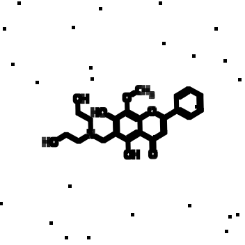 COc1c(O)c(CN(CCO)CCO)c(O)c2c(=O)cc(-c3ccccc3)oc12